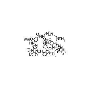 CCC1C(=O)N(C)c2cnc(Nc3ccc(C(=O)NCCCN4CCN(CCCN(C)CCN(C)c5cc(OC)c(Nc6nccc(-c7cn(C)c8ccccc78)n6)cc5NC(=O)OCC[Si](C)(C)C)CC4)cc3OC)nc2N1C1CCCC1